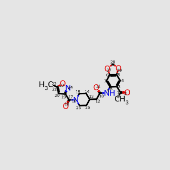 CC(=O)c1cc2c(cc1NC(=O)CC1CCN(C(=O)c3cc(C)on3)CC1)OCO2